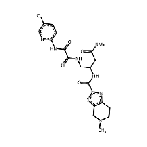 CNC(=O)CC(CNC(=O)C(=O)Nc1ccc(Cl)cn1)NC(=O)c1nc2c(s1)CN(C)CC2